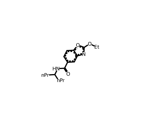 CCCC(CCC)NC(=O)c1ccc2oc(OCC)nc2c1